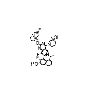 CCc1cccc2cc(O)c(F)c(-c3ncc4c(N5CCC[C@@](C)(O)C5)nc(OC[C@@]56CCCN5C[C@H](F)C6)nc4c3F)c12